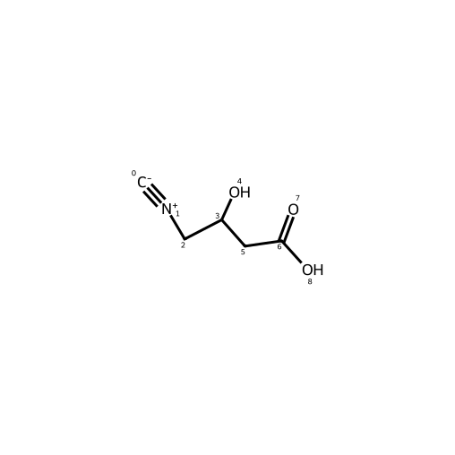 [C-]#[N+]CC(O)CC(=O)O